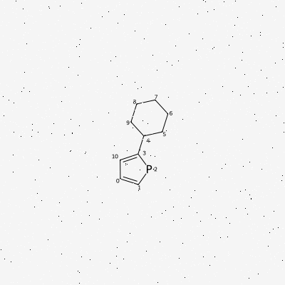 C1=C[P]C(C2CCCCC2)=C1